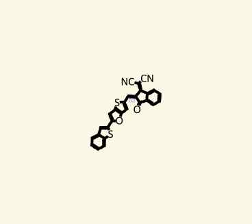 N#CC(C#N)=C1/C(=C/c2cc3oc(-c4cc5ccccc5s4)cc3s2)C(=O)c2ccccc21